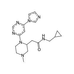 CN1CCN(c2cc(-n3ccnc3)ncn2)C(CC(=O)NCC2CC2)C1